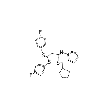 Fc1ccc(SC(CC(=Nc2ccccc2)SCC2CCCC2)Sc2ccc(F)cc2)cc1